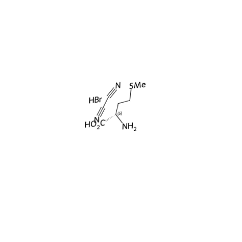 Br.CSCC[C@H](N)C(=O)O.N#CC#N